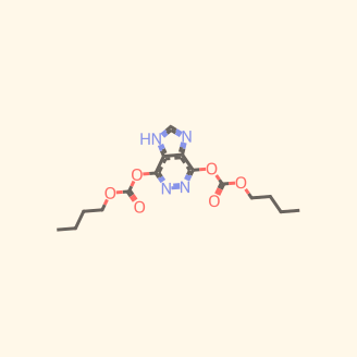 CCCCOC(=O)Oc1nnc(OC(=O)OCCCC)c2[nH]cnc12